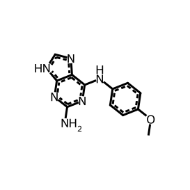 COc1ccc(Nc2nc(N)nc3[nH]cnc23)cc1